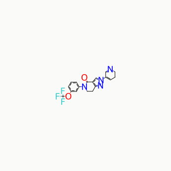 O=C1c2cn(C3=CCCN=C3)nc2CCN1c1cccc(OC(F)(F)F)c1